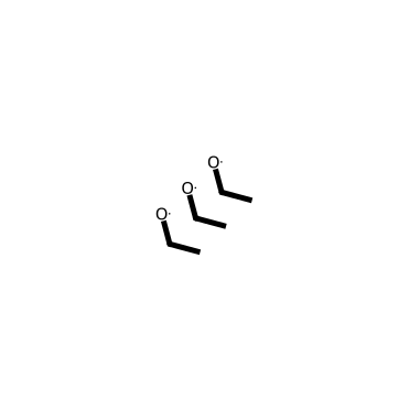 CC[O].CC[O].CC[O]